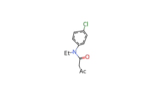 CCN(C(=O)CC(C)=O)c1ccc(Cl)cc1